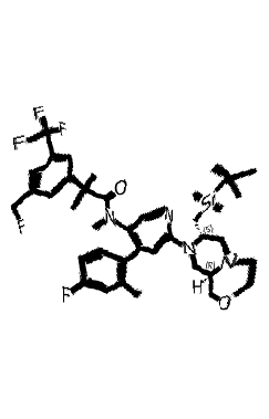 Cc1cc(F)ccc1-c1cc(N2C[C@@H]3COCCN3C[C@H]2C[Si](C)(C)C(C)(C)C)ncc1N(C)C(=O)C(C)(C)c1cc(CF)cc(C(F)(F)F)c1